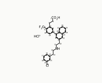 Cl.O=C(O)CCc1cc(-c2cc(CCNCCc3cccc(Cl)c3)cc3ccccc23)ccc1C(F)(F)F